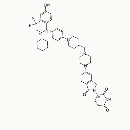 O=C1CC[C@H](N2Cc3cc(N4CCN(CC5CCN(c6ccc([C@H]7c8ccc(O)cc8C(F)(F)C[C@H]7C7CCCCC7)cc6)CC5)CC4)ccc3C2=O)C(=O)N1